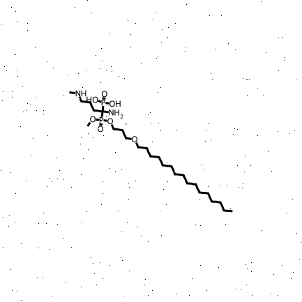 CCCCCCCCCCCCCCCCOCCCOP(=O)(OC)C(N)(CCCNC)P(=O)(O)O